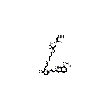 Cc1cccc(C[C@H](O)/C=C/[C@H]2CCC(=O)N2CCSCCCCOC(=O)CNC(=O)CN)c1